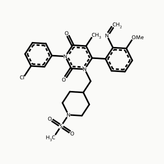 C=Nc1c(OC)cccc1-c1c(C)c(=O)n(-c2cccc(Cl)c2)c(=O)n1CC1CCN(S(C)(=O)=O)CC1